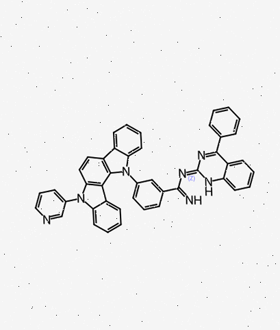 N=C(/N=c1/nc(-c2ccccc2)c2ccccc2[nH]1)c1cccc(-n2c3ccccc3c3ccc4c(c5ccccc5n4-c4cccnc4)c32)c1